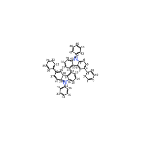 C1=CCC(c2ccc3c(c2)c2c(-c4cccc5c4C4C=C(C6=CCCC=C6)C=CC4N5c4ccccc4)cccc2n3-c2ccccc2)C=C1